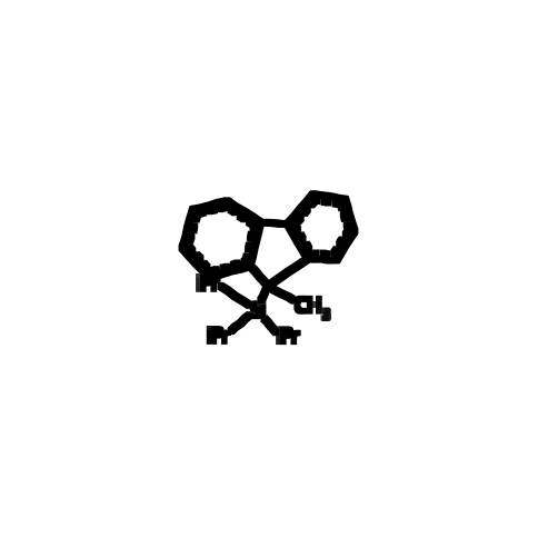 CC(C)[Si](C(C)C)(C(C)C)C1(C)c2ccccc2-c2ccccc21